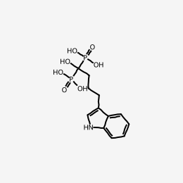 O=P(O)(O)C(O)(CCCc1c[nH]c2ccccc12)P(=O)(O)O